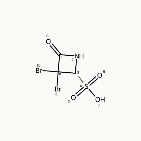 O=C1N[C@H](S(=O)(=O)O)C1(Br)Br